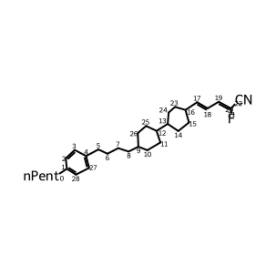 CCCCCc1ccc(CCCCC2CCC(C3CCC(C=CC=C(F)C#N)CC3)CC2)cc1